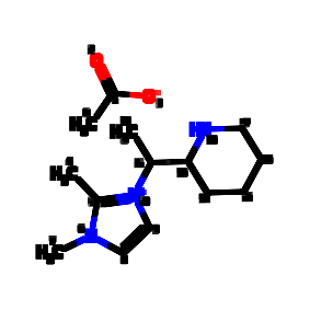 CC(=O)[O-].Cc1n(C)cc[n+]1C(C)C1CCCCN1